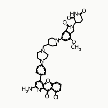 COc1cc(N2CCC(CN3CCN(c4ccc(-c5cc(N)nc6c(=O)c7c(Cl)cccc7oc56)cc4)CC3)CC2)cc2c1CN(C1CCC(=O)NC1=O)C2=O